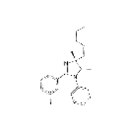 C/C=C\C=C/[C@@]1(C)N=C(c2cccc(C)c2)N(c2ccccc2)C1C